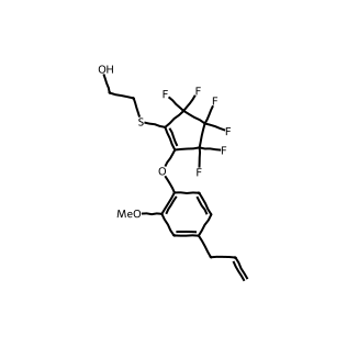 C=CCc1ccc(OC2=C(SCCO)C(F)(F)C(F)(F)C2(F)F)c(OC)c1